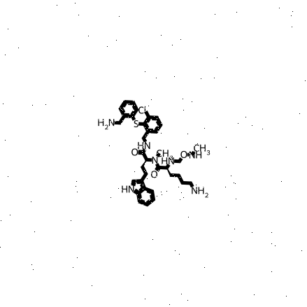 CNOCN[C@@H](CCCCN)C(=O)N(C)[C@@H](CCc1c[nH]c2ccccc12)C(=O)NCc1cccc(Cl)c1Sc1ccccc1CN